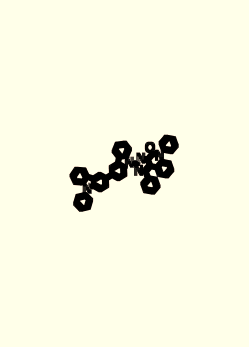 O=c1c2nc(-n3c4ccccc4c4cc(-c5ccc6c(c5)c5ccccc5n6-c5ccccc5)ccc43)nc(-c3ccccc3)c2c2ccccc2n1-c1ccccc1